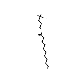 [O]CCCCCCCCCC(=O)NCCCC(F)(F)C(F)(F)F